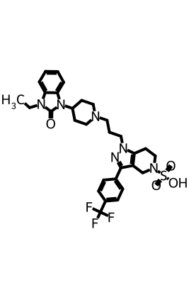 CCn1c(=O)n(C2CCN(CCCn3nc(-c4ccc(C(F)(F)F)cc4)c4c3CCN(S(=O)(=O)O)C4)CC2)c2ccccc21